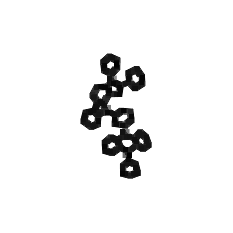 c1ccc(-c2cc3c(ccc4c5ccccc5n(-c5cccc(N6c7ccccc7N(c7ccccc7)c7ccccc76)c5)c43)n2-c2ccccc2)cc1